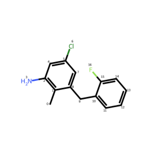 Cc1c(N)cc(Cl)cc1Cc1ccccc1F